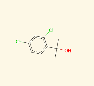 CC(C)(O)c1ccc(Cl)cc1Cl